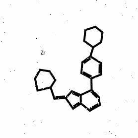 [C]1=c2cccc(-c3ccc(C4CCCCC4)cc3)c2=CC1=CC1CCCCC1.[Zr]